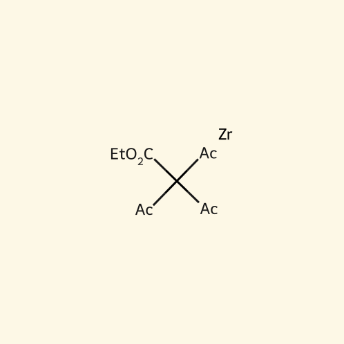 CCOC(=O)C(C(C)=O)(C(C)=O)C(C)=O.[Zr]